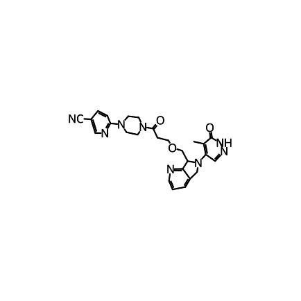 Cc1c(N2Cc3cccnc3C2COCCC(=O)N2CCN(c3ccc(C#N)cn3)CC2)cn[nH]c1=O